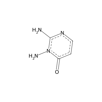 Nc1nccc(=O)n1N